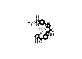 Cc1nc2cc(-n3ncc(C(=O)c4cc5cc(C(=O)C6NCC[C@@H]6F)ccc5[nH]4)c3N)ccc2[nH]1